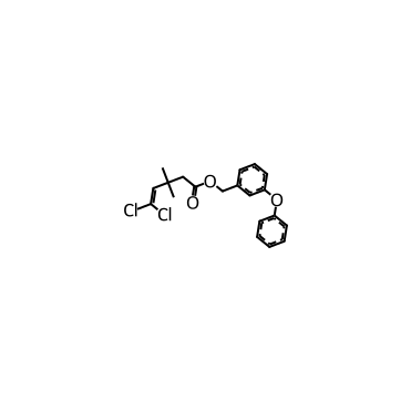 CC(C)(C=C(Cl)Cl)CC(=O)OCc1cccc(Oc2ccccc2)c1